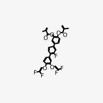 C=C(C)C(=O)Oc1ccc(-c2ccc(-c3ccc(OC=C(F)F)c(OC=C(F)F)c3)c(F)c2)cc1OC(=O)C(=C)C